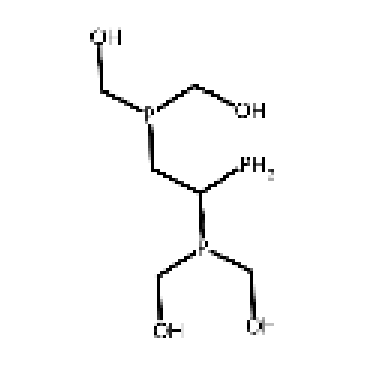 OCP(CO)CC(P)P(CO)CO